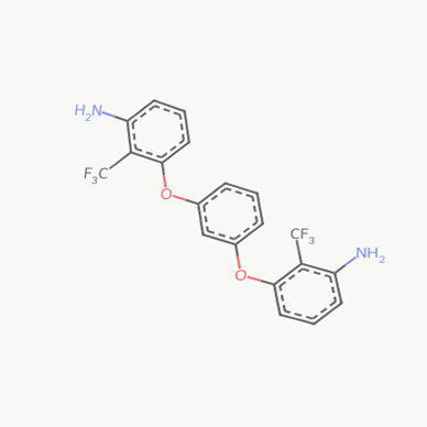 Nc1cccc(Oc2cccc(Oc3cccc(N)c3C(F)(F)F)c2)c1C(F)(F)F